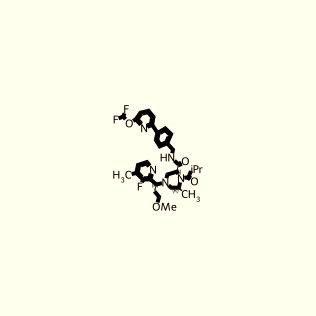 COCC[C@H](c1nccc(C)c1F)N1C[C@@H](C)N(C(=O)C(C)C)[C@@H](C(=O)NCc2ccc(-c3cccc(OC(F)F)n3)cc2)C1